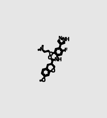 COc1ccc2c(c1)OCC(C(=O)Nc1cc(F)c(-c3cn[nH]c3)cc1OCCN(C)C)C2